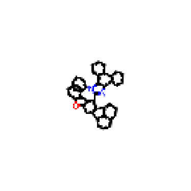 c1ccc(-n2c(-c3c4c(cc5oc6ccccc6c35)-c3cccc5cccc-4c35)nc3c4ccccc4c4ccccc4c32)cc1